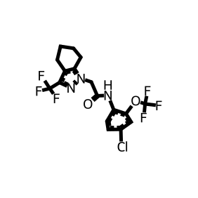 O=C(Cn1nc(C(F)(F)F)c2c1CCCC2)Nc1ccc(Cl)cc1OC(F)(F)F